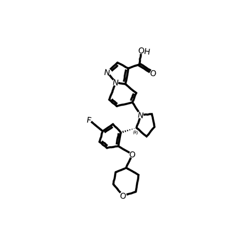 O=C(O)c1cnn2ccc(N3CCC[C@@H]3c3cc(F)ccc3OC3CCOCC3)cc12